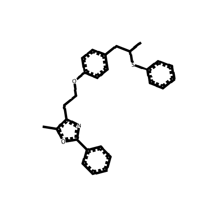 Cc1oc(-c2ccccc2)nc1CCOc1ccc(CC(C)Sc2ccccc2)cc1